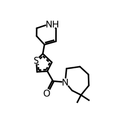 CC1(C)CCCCN(C(=O)c2csc(C3=CCNCC3)c2)C1